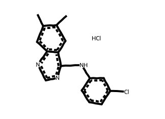 Cc1cc2ncnc(Nc3cccc(Cl)c3)c2cc1C.Cl